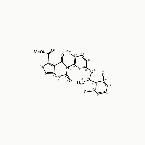 COC(=O)c1scc2[nH]c(=O)n(-c3cc(OC(C)c4c(Cl)cccc4Cl)ccc3F)c(=O)c12